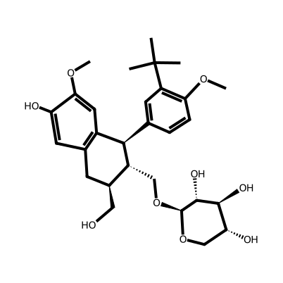 COc1cc2c(cc1O)C[C@H](CO)[C@@H](CO[C@@H]1OC[C@@H](O)[C@H](O)[C@H]1O)[C@@H]2c1ccc(OC)c(C(C)(C)C)c1